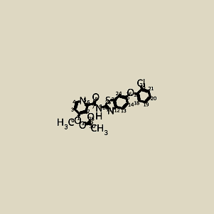 COc1ccnc(C(=O)Nc2nc3ccc(Oc4ccccc4Cl)cc3s2)c1OC(C)=O